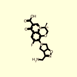 C[C@H]1COc2c(N3CC4ON=C(CN)C4C3)c(F)cc3c(=O)c(C(=O)O)cn1c23